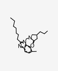 CCCCCCCc1nc2ccc(C)cc2n1CN1CC(CCC)CC1=O